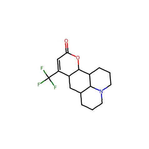 O=C1C=C(C(F)(F)F)C2CC3CCCN4CCCC(C2O1)C34